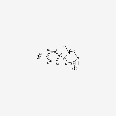 CN1CC[PH](=O)CC1c1ccc(Br)cc1